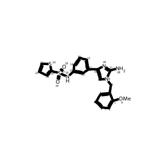 COc1ccccc1Cn1cc(-c2cccc(NS(=O)(=O)c3cccs3)c2)nc1N